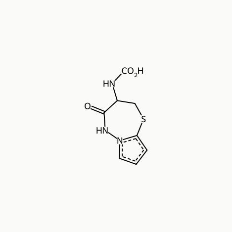 O=C(O)NC1CSc2cccn2NC1=O